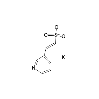 O=S(=O)([O-])/C=C/c1cccnc1.[K+]